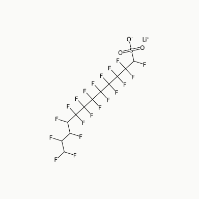 O=S(=O)([O-])C(F)C(F)(F)C(F)(F)C(F)(F)C(F)(F)C(F)(F)C(F)(F)C(F)(F)C(F)C(F)C(F)C(F)F.[Li+]